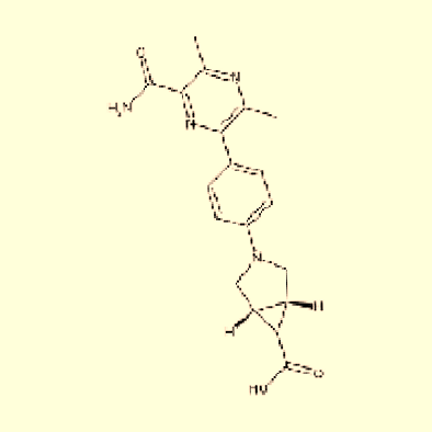 Cc1nc(C)c(-c2ccc(N3C[C@@H]4C(C(=O)O)[C@@H]4C3)cc2)nc1C(N)=O